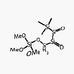 CO[Si](OC)(OC)O[SiH2][Si](=O)[Si](=O)[Si](C)(C)C